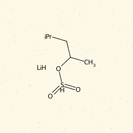 CC(C)CC(C)O[SH](=O)=O.[LiH]